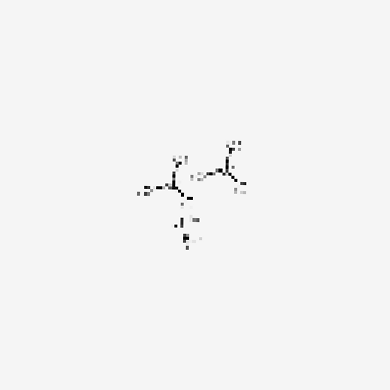 [Ba+2].[O-]B([O-])[O-].[O-]B([O-])[O-].[Ti+4]